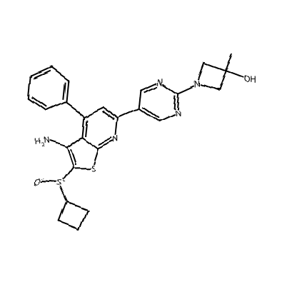 CC1(O)CN(c2ncc(-c3cc(-c4ccccc4)c4c(N)c([S+]([O-])C5CCC5)sc4n3)cn2)C1